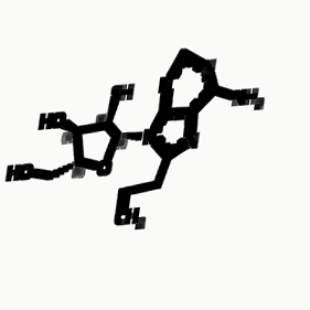 C=CCc1nc2c(N)ncnc2n1[C@@H]1O[C@H](CO)[C@@H](O)[C@H]1S